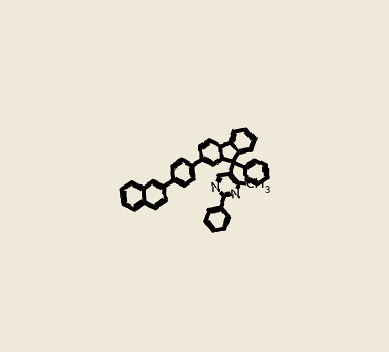 Cc1nc(-c2ccccc2)ncc1C1(c2ccccc2)c2ccccc2C2C=CC(c3ccc(-c4ccc5ccccc5c4)cc3)=CC21